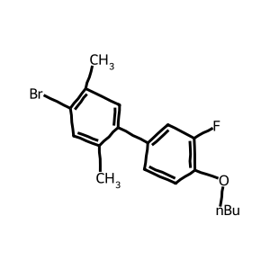 CCCCOc1ccc(-c2cc(C)c(Br)cc2C)cc1F